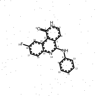 O=c1[nH]ccc2c(Nc3ccccc3)nc3ccc(F)cc3c12